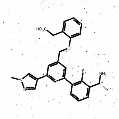 C[C@@H](N)c1cccc(-c2cc(COc3ccccc3CC(=O)O)cc(-c3cnn(C)c3)c2)c1F